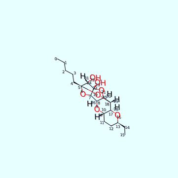 CCCCC[C@]12OC3[C@@H]4O[C@H]5CC[C@H](CC)O[C@@H]5[C@H](O1)[C@@H]4O[C@@]3(O)[C@H]2O